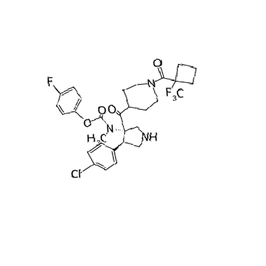 CN(C(=O)Oc1ccc(F)cc1)[C@]1(C(=O)C2CCN(C(=O)C3(C(F)(F)F)CCC3)CC2)CNC[C@H]1c1ccc(Cl)cc1